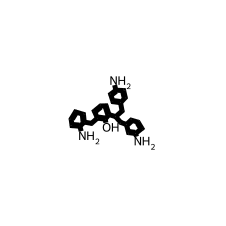 Nc1ccc(C[C](Cc2cccc(N)c2)c2cccc(Cc3ccccc3N)c2O)cc1